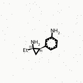 CC[C@]1(N)C[C@@H]1c1cccc(N)c1